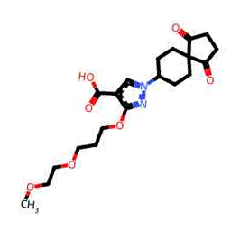 COCCOCCCOc1nn(C2CCC3(CC2)C(=O)CCC3=O)cc1C(=O)O